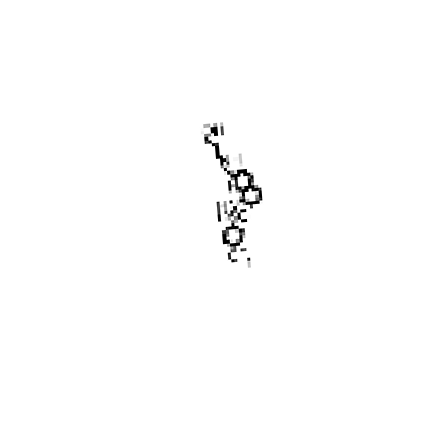 O=S(=O)(Nc1cccc2ccc(CNCCCO)nc12)c1ccc(C(F)(F)F)cc1